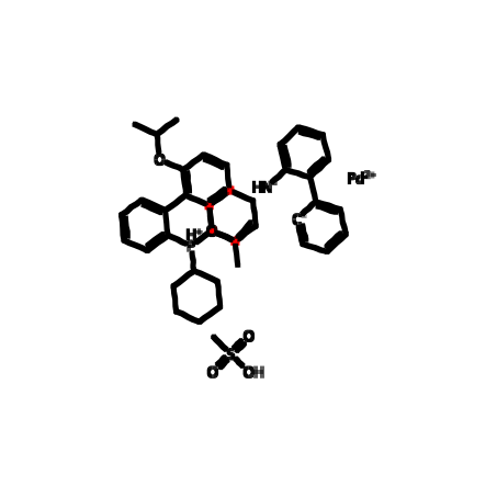 CC(C)Oc1cccc(OC(C)C)c1-c1ccccc1[PH+](C1CCCCC1)C1CCCCC1.CS(=O)(=O)O.[NH-]c1ccccc1-c1[c-]cccc1.[Pd+2]